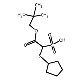 CC(C)(C)COC(=O)C(SC1CCCC1)S(=O)(=O)O